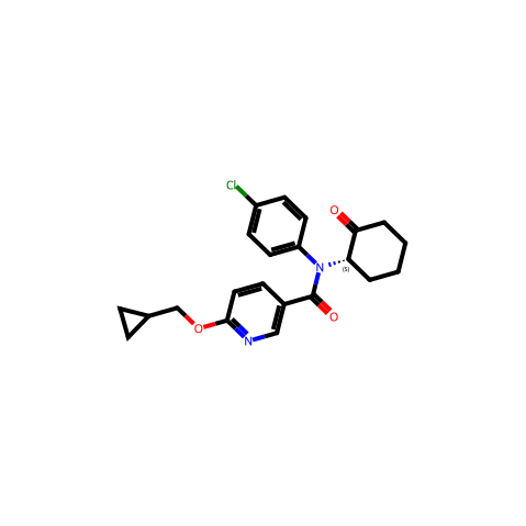 O=C1CCCC[C@@H]1N(C(=O)c1ccc(OCC2CC2)nc1)c1ccc(Cl)cc1